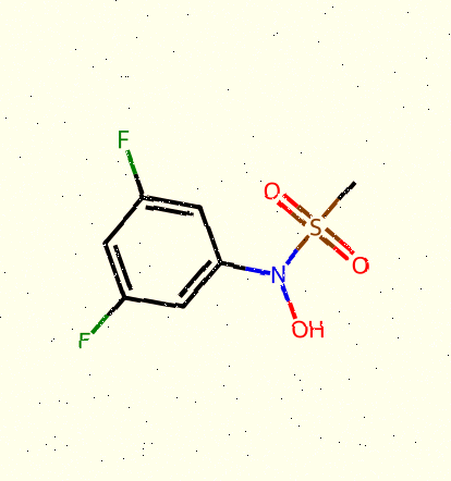 CS(=O)(=O)N(O)c1cc(F)cc(F)c1